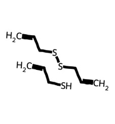 C=CCS.C=CCSSCC=C